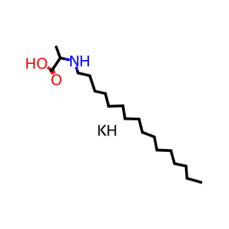 CCCCCCCCCCCCCCCCNC(C)C(=O)O.[KH]